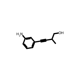 CC(C#Cc1cccc(N)c1)CO